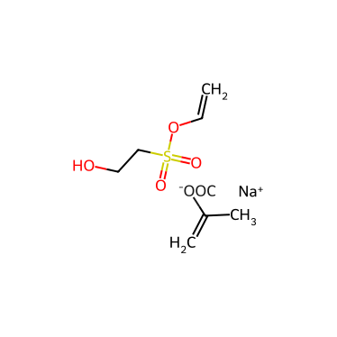 C=C(C)C(=O)[O-].C=COS(=O)(=O)CCO.[Na+]